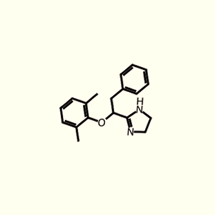 Cc1cccc(C)c1OC(Cc1ccccc1)C1=NCCN1